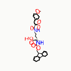 COc1ccc2cc(C(=O)NCCCC[C@H](NC(=O)OCC3c4ccccc4-c4ccccc43)C(=O)O)c(=O)oc2c1